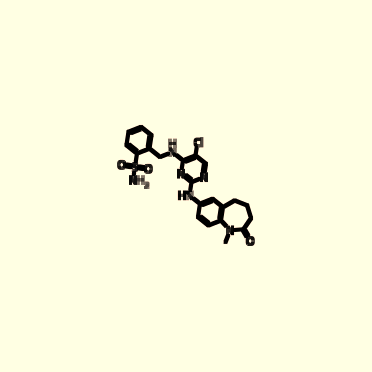 CN1C(=O)CCCc2cc(Nc3ncc(Cl)c(NCc4ccccc4S(N)(=O)=O)n3)ccc21